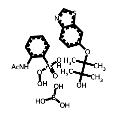 CC(=O)Nc1ccccc1[As](=O)(O)OO.CC(C)(O)C(C)(C)Oc1ccc2ncsc2c1.OB(O)O